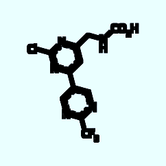 O=C(O)NCc1cc(-c2cnc(C(F)(F)F)nc2)nc(Cl)n1